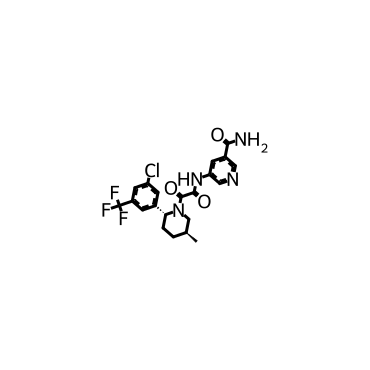 C[C@H]1CC[C@H](c2cc(Cl)cc(C(F)(F)F)c2)N(C(=O)C(=O)Nc2cncc(C(N)=O)c2)C1